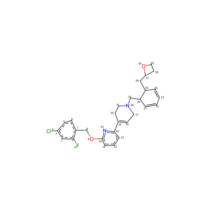 Fc1cc(Cl)ccc1COc1cccc(C2=CCN(CC3C=CC=CC3CC3CCO3)CC2)n1